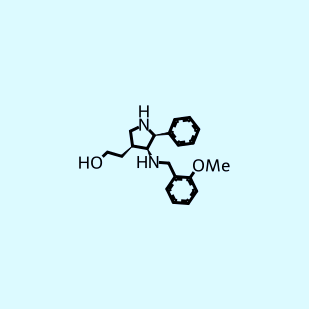 COc1ccccc1CN[C@H]1[C@@H](CCO)CN[C@H]1c1ccccc1